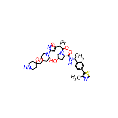 Cc1ncsc1-c1ccc([C@H](C)NC(=O)[C@@H]2C[C@@H](O)CN2C(=O)[C@H](c2cc(N3CCC(CC4(O)CCNCC4)CC3)no2)C(C)C)cc1